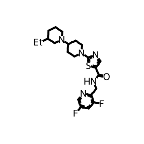 CCC1CCCN(C2CCN(c3ncc(C(=O)NCc4ncc(F)cc4F)s3)CC2)C1